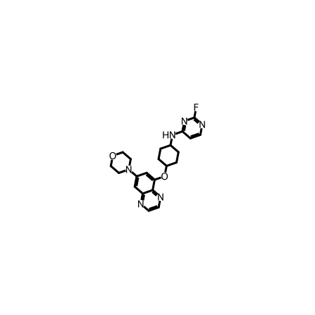 Fc1nccc(NC2CCC(Oc3cc(N4CCOCC4)cc4nccnc34)CC2)n1